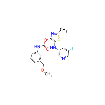 COCc1cccc(NC(=O)Oc2nc(C)sc2Nc2cncc(F)c2)c1